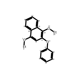 CCOc1cc(Oc2ccccc2)c(OCC)c2ccccc12